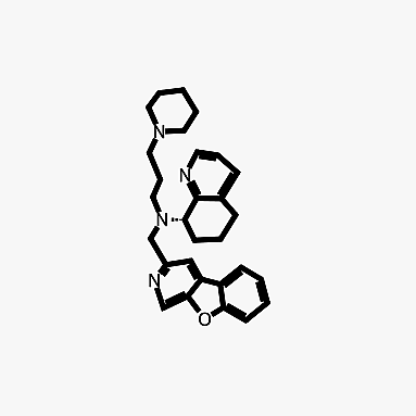 c1cnc2c(c1)CCC[C@@H]2N(CCCN1CCCCC1)Cc1cc2c(cn1)oc1ccccc12